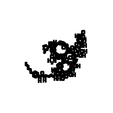 CCCCCCc1ccc(NC(=O)NCCCCNCc2c(O)cc3c(c2O)-c2cc(ccc2O)[C@H]2CC(=O)[C@@H]4NC(=O)[C@H](CC(N)=O)CC(=O)[C@H](NC(=O)[C@H](CC)CC(C)C)[C@H](O)c5ccc(c(Cl)c5)Oc5cc4cc(c5O[C@@H]4O[C@H](CO)[C@@H](O)[C@H](O)[C@H]4O[C@H]4C[C@]5(C)NC(=O)O[C@@H]5[C@H](C)O4)Oc4ccc(cc4Cl)[C@@H](O)[C@H](NC2=O)C(=O)N[C@@H]3C(=O)O)cc1